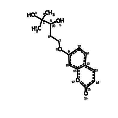 CC(C)(O)[C@@H](O)CCOc1ccc2ccc(=O)oc2c1